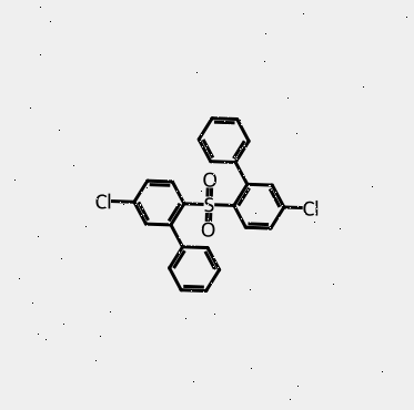 O=S(=O)(c1ccc(Cl)cc1-c1ccccc1)c1ccc(Cl)cc1-c1ccccc1